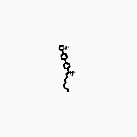 C=C/C=C\C=CC/C=C(\NC)c1ccc(-c2ccc(-c3ccc[nH]3)cc2)cc1